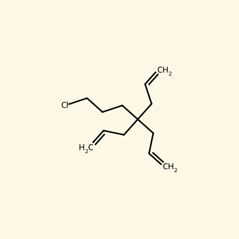 C=CCC(CC=C)(CC=C)CCCCl